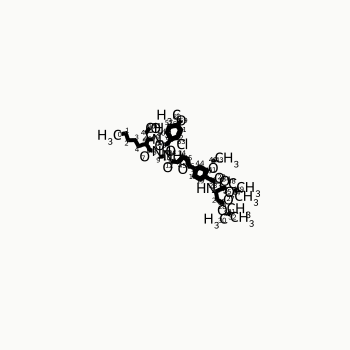 CCCCCC(C(=O)NCNC(=O)c1ccc(-c2ccc(C(=O)NC(CC(=O)OC(C)(C)C)C(=O)OC(C)(C)C)c(OCC)c2)o1)[C@@H](CC)N(C=O)OC(=O)c1ccc(OC)cc1Cl